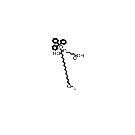 CCCCCCCCCCCCCCCCC(O)C(COC(c1ccccc1)(c1ccccc1)c1ccccc1)OCCCCC(=O)O